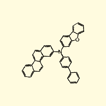 c1ccc(-c2ccc(N(c3ccc4c(c3)oc3ccccc34)c3ccc4ccc5c6ccccc6ccc5c4c3)cc2)cc1